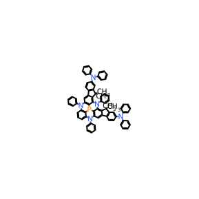 CC1(C)c2cc(N(c3ccccc3)c3ccccc3)ccc2-c2cc3c4c(c21)N(c1ccccc1)c1c2c(cc5c1C(C)(C)c1cc(N(c6ccccc6)c6ccccc6)ccc1-5)N(c1ccccc1)c1cccc(c1P42)N3c1ccccc1